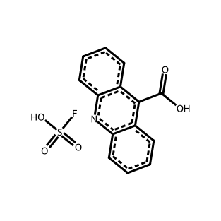 O=C(O)c1c2ccccc2nc2ccccc12.O=S(=O)(O)F